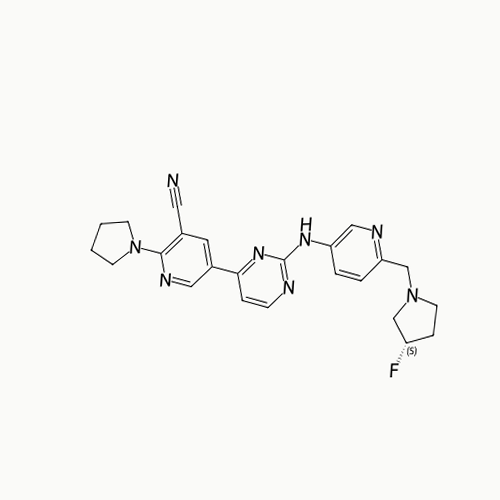 N#Cc1cc(-c2ccnc(Nc3ccc(CN4CC[C@H](F)C4)nc3)n2)cnc1N1CCCC1